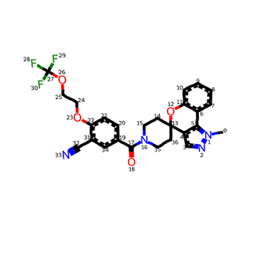 Cn1ncc2c1-c1ccccc1OC21CCN(C(=O)c2ccc(OCCOC(F)(F)F)c(C#N)c2)CC1